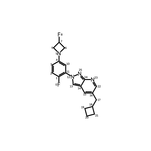 Fc1ccc(N2CC(F)C2)cc1-n1cc2cc(CC3CCC3)cnc2n1